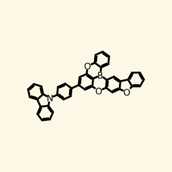 c1ccc2c(c1)Oc1cc(-c3ccc(-n4c5ccccc5c5ccccc54)cc3)cc3c1B2c1cc2c(cc1O3)oc1ccccc12